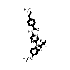 CCCc1ccc(C(=O)Nc2cnc(-n3c(C(F)(F)F)nc4c3=CCC(OC)C=4)cn2)cc1